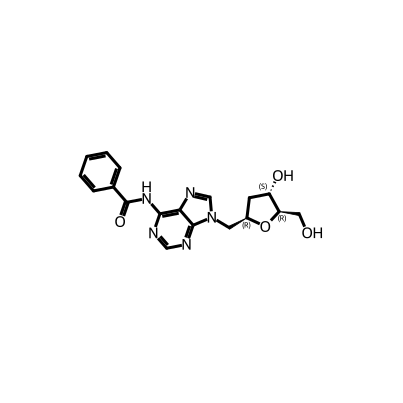 O=C(Nc1ncnc2c1ncn2C[C@H]1C[C@H](O)[C@@H](CO)O1)c1ccccc1